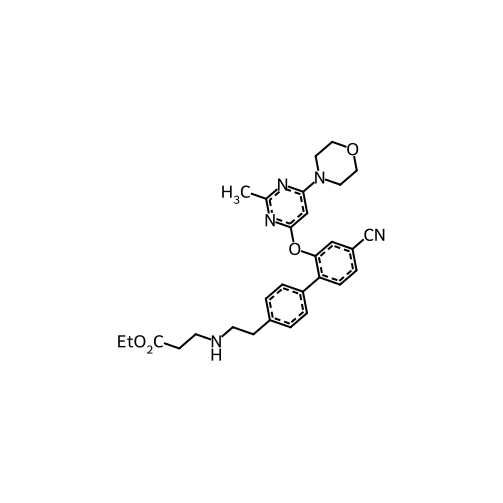 CCOC(=O)CCNCCc1ccc(-c2ccc(C#N)cc2Oc2cc(N3CCOCC3)nc(C)n2)cc1